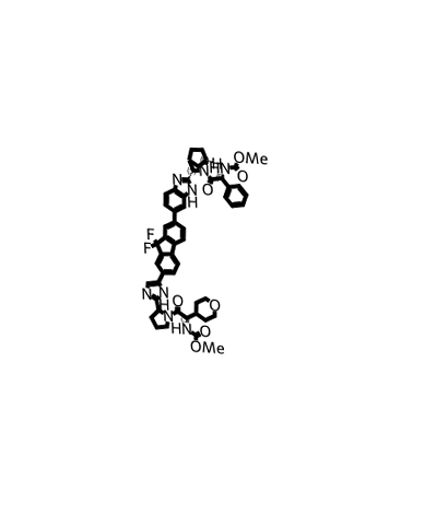 COC(=O)N[C@H](C(=O)N1CCCC1c1ncc(-c2ccc3c(c2)C(F)(F)c2cc(-c4ccc5nc([C@@H]6C7CC[C@H](C7)N6C(=O)[C@H](NC(=O)OC)c6ccccc6)[nH]c5c4)ccc2-3)[nH]1)C1CCOCC1